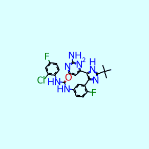 CC(C)(C)c1nc(-c2cc(NC(=O)Nc3ccc(F)cc3Cl)ccc2F)c(-c2ccnc(N)n2)[nH]1